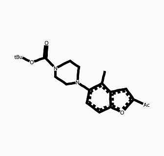 CC(=O)c1cc2c(C)c(N3CCN(C(=O)OC(C)(C)C)CC3)ccc2o1